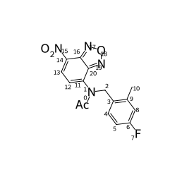 CC(=O)N(Cc1ccc(F)cc1C)c1ccc([N+](=O)[O-])c2nonc12